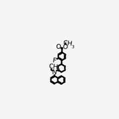 CCN(c1cccc2ccccc12)C1CCCC(c2ccc(C(=O)OC)cc2F)C1